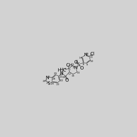 CC1(C)CN(S(=O)(=O)c2ccc(Cl)nc2)CCC1C(=O)Nc1ccc2scnc2c1